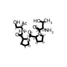 CC(=O)[C@H](CO)NC(=O)C1CCCN1C(=O)C1CCCN1C(=O)[C@@H](N)[C@@H](C)O